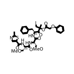 COC[C@H](NC(=O)c1cnc(C)s1)C(=O)N[C@@H](COC)C(=O)N[C@@H](Cc1ccccc1)C(=O)C(C)(CI)OC(=O)COc1ccccc1